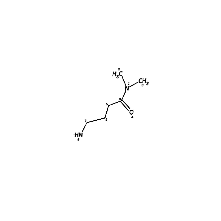 CN(C)C(=O)CCC[NH]